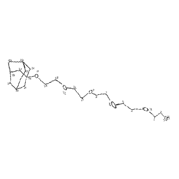 OCCOCCOCCOCCOCCOC12CC3CC(CC(C3)C1)C2